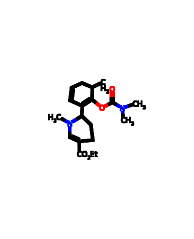 CCOC(=O)C1=CN(C)C(C2=C(OC(=O)N(C)C)C(C)CC=C2)CC1